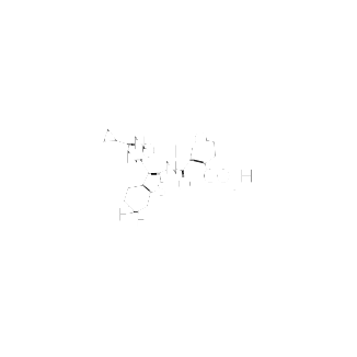 O=C(O)C1=C(C(=O)Nc2sc3c(c2-c2nc(C4CC4)no2)CCC(F)(F)C3)COCC1